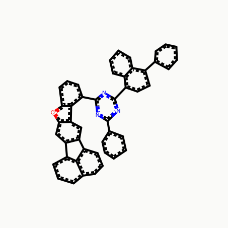 c1ccc(-c2nc(-c3ccc(-c4ccccc4)c4ccccc34)nc(-c3cccc4oc5cc6c(cc5c34)-c3cccc4cccc-6c34)n2)cc1